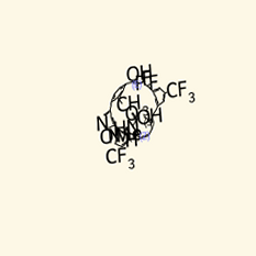 COc1ncc2cc1-c1ncc(C(F)(F)F)cc1[C@@H]1/C=C\C[C@H](OC(=O)N1)c1cc(C(F)(F)F)cc(c1)C(F)(F)/P=C(/O)c1ccc-2c(C)c1